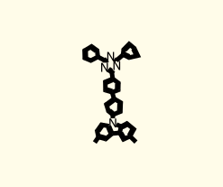 Cc1ccc2c(c1)c1cc(C)ccc1n2-c1ccc(-c2ccc(-c3nc(-c4ccccc4)nc(C4C=CC=CC4)n3)cc2)cc1